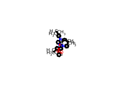 CC(C)(C)c1ccc(N2C3=CC=C4CC3B3C5=C2CCC=C5N(c2ccc(C(C)(C)C)cc2)c2c3n(c3cc5c(cc23)OC2=C(CCC=C2)O5)-c2cccc(c2)C4(C)C)cc1